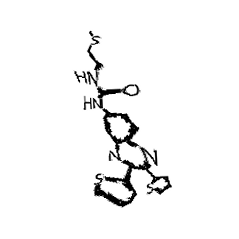 CSCCNC(=O)Nc1ccc2nc(-c3cccs3)c(-c3cccs3)nc2c1